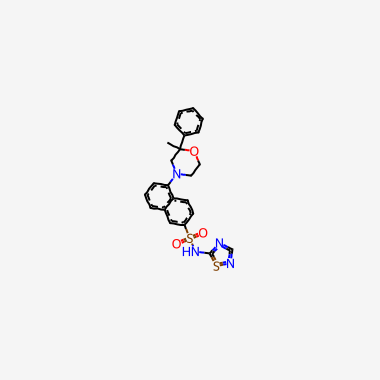 CC1(c2ccccc2)CN(c2cccc3cc(S(=O)(=O)Nc4ncns4)ccc23)CCO1